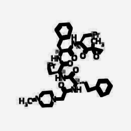 CC(C)C[C@H](NC(=O)[C@H](CCc1ccccc1)NC(=O)CN1CCN(C)CC1)C(=O)N[C@@H](Cc1ccccc1)C(=O)N[C@@H](CC(C)C)C(=O)C1(C)CO1